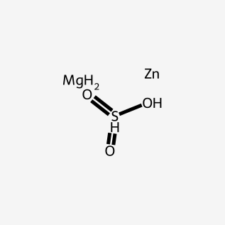 O=[SH](=O)O.[MgH2].[Zn]